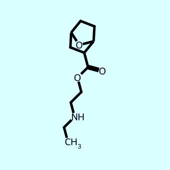 CCNCCOC(=O)C1CC2CCC1O2